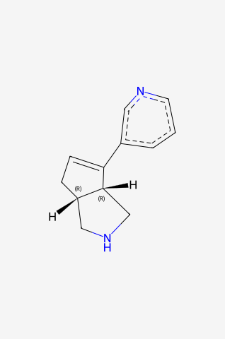 C1=C(c2cccnc2)[C@@H]2CNC[C@@H]2C1